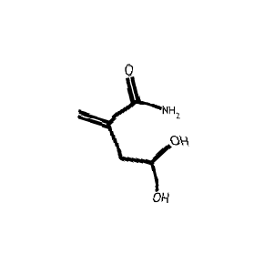 C=C(CC(O)O)C(N)=O